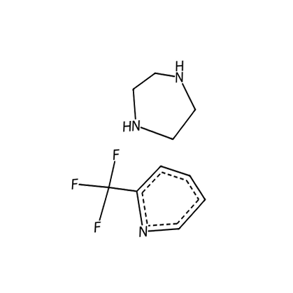 C1CNCCN1.FC(F)(F)c1ccccn1